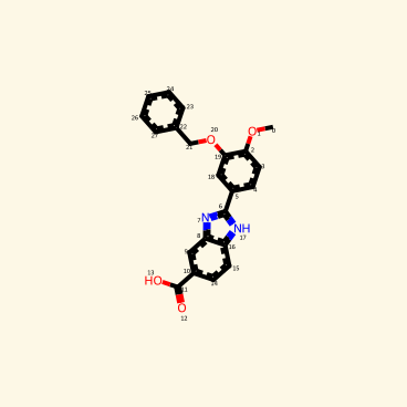 COc1ccc(-c2nc3cc(C(=O)O)ccc3[nH]2)cc1OCc1ccccc1